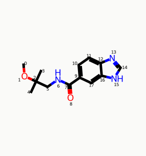 COC(C)(C)CNC(=O)c1ccc2nc[nH]c2c1